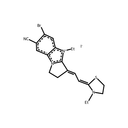 CCN1CCSC1=CC=C1CCn2c1[n+](CC)c1cc(Br)c(C#N)cc12.[I-]